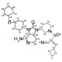 N#CC(=CC1CCC1)C(=O)N1CCCC(n2c(=O)n(-c3ccc(Oc4ccccc4)cc3)c3c(N)nccc32)C1